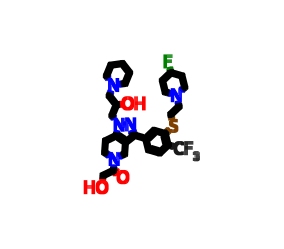 O=C(CO)N1CCc2c(c(-c3ccc(C(F)(F)F)c(SCCN4CCC(F)CC4)c3)nn2CC(O)CN2CCCCC2)C1